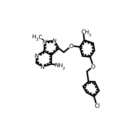 Cc1ccc(OCc2ccc(Cl)cc2)cc1OCc1nn(C)c2ncnc(N)c12